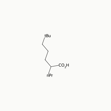 CCCC(CCCC(C)(C)C)C(=O)O